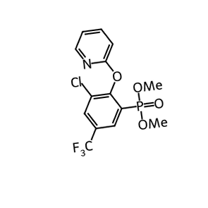 COP(=O)(OC)c1cc(C(F)(F)F)cc(Cl)c1Oc1ccccn1